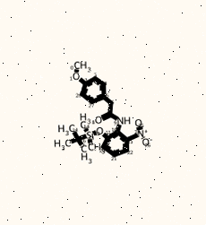 COc1ccc(CC(=O)Nc2c(O[Si](C)(C)C(C)(C)C)cccc2[N+](=O)[O-])cc1